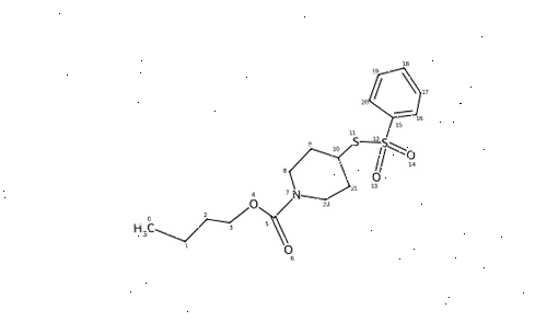 CCCCOC(=O)N1CCC(SS(=O)(=O)c2ccccc2)CC1